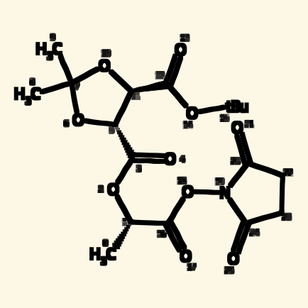 C[C@H](OC(=O)[C@@H]1OC(C)(C)O[C@H]1C(=O)OC(C)(C)C)C(=O)ON1C(=O)CCC1=O